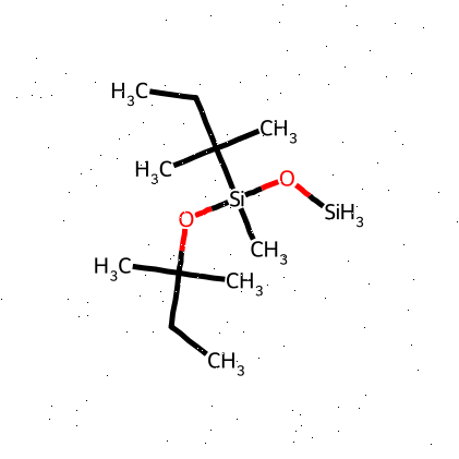 CCC(C)(C)O[Si](C)(O[SiH3])C(C)(C)CC